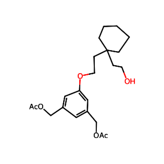 CC(=O)OCc1cc(COC(C)=O)cc(OCCC2(CCO)CCCCC2)c1